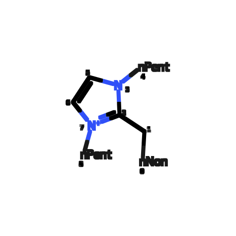 CCCCCCCCCCc1n(CCCCC)cc[n+]1CCCCC